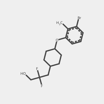 Cc1c(Br)cccc1OC1CCC(CC(F)(F)CO)CC1